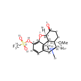 CO[C@@]12CCC(=O)[C@@H]3Oc4c(OS(=O)(=O)C(F)(F)F)ccc5c4[C@@]31CCN(C)[C@@H]2C5